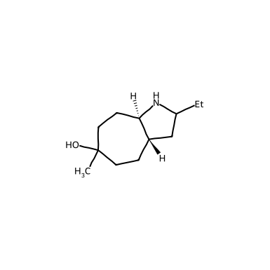 CCC1C[C@@H]2CCC(C)(O)CC[C@H]2N1